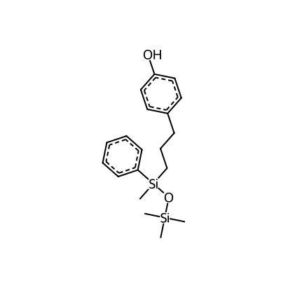 C[Si](C)(C)O[Si](C)(CCCc1ccc(O)cc1)c1ccccc1